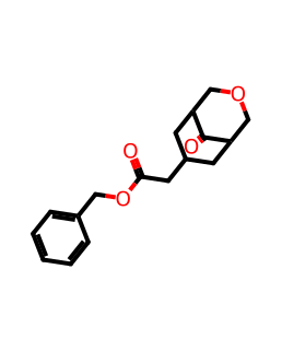 O=C(CC1CC2COCC(C1)C2=O)OCc1ccccc1